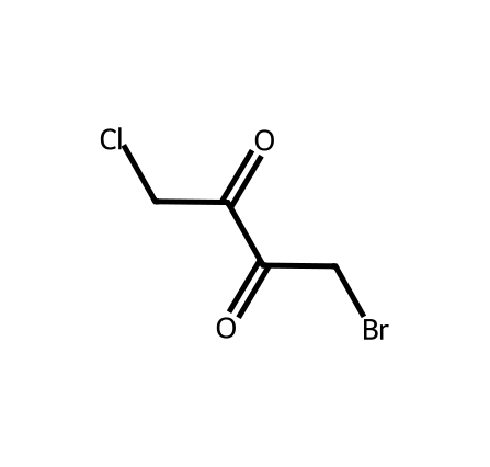 O=C(CCl)C(=O)CBr